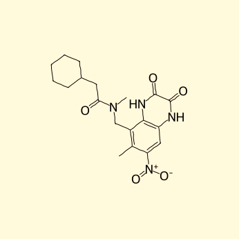 Cc1c([N+](=O)[O-])cc2[nH]c(=O)c(=O)[nH]c2c1CN(C)C(=O)CC1CCCCC1